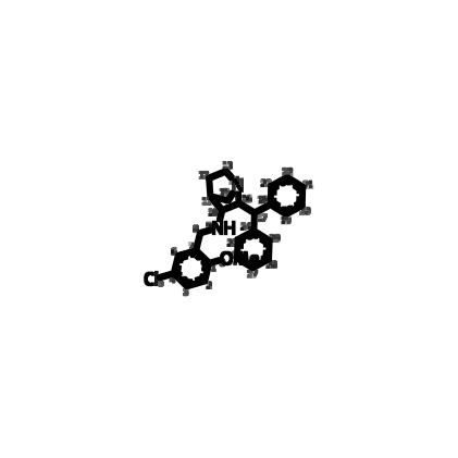 COc1ccc(Cl)cc1CNC1C2CCN(C2)C1C(c1ccccc1)c1ccccc1